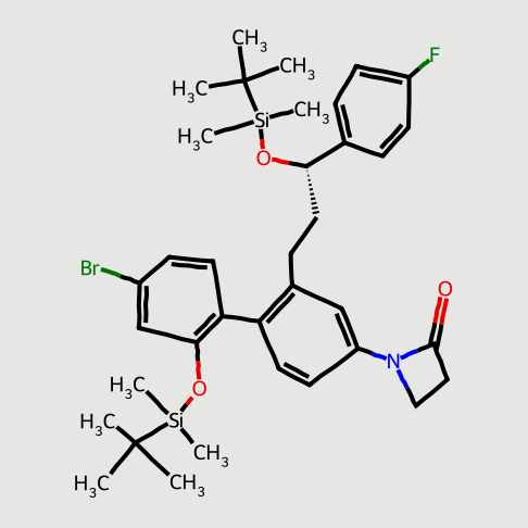 CC(C)(C)[Si](C)(C)Oc1cc(Br)ccc1-c1ccc(N2CCC2=O)cc1CC[C@H](O[Si](C)(C)C(C)(C)C)c1ccc(F)cc1